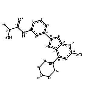 C[C@H](O)C(=O)Nc1cccc(-c2cc3nc(Cl)nc(N4CCOCC4)c3s2)c1